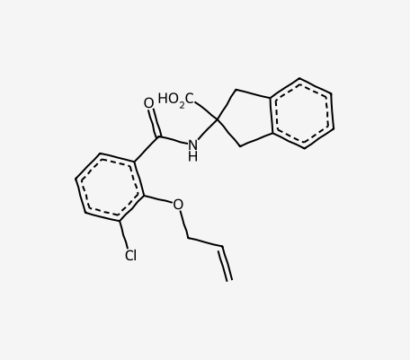 C=CCOc1c(Cl)cccc1C(=O)NC1(C(=O)O)Cc2ccccc2C1